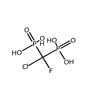 O=P(O)(O)C(F)(Cl)P(=O)(O)O